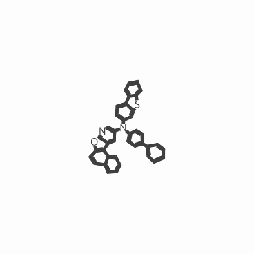 c1ccc(-c2ccc(N(c3ccc4c(c3)sc3ccccc34)c3cnc4oc5ccc6ccccc6c5c4c3)cc2)cc1